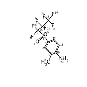 Cc1cc(S(=O)(=O)C(F)(F)C(F)(F)C(F)(F)F)ccc1N